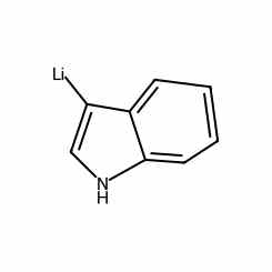 [Li][c]1c[nH]c2ccccc12